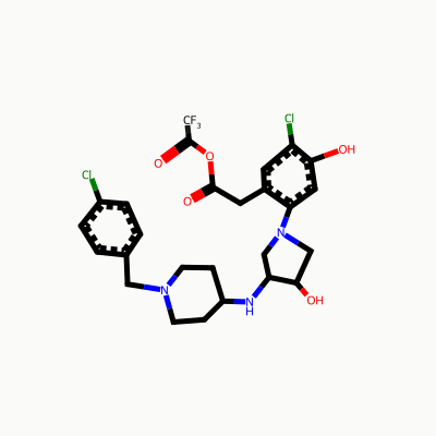 O=C(Cc1cc(Cl)c(O)cc1N1CC(O)C(NC2CCN(Cc3ccc(Cl)cc3)CC2)C1)OC(=O)C(F)(F)F